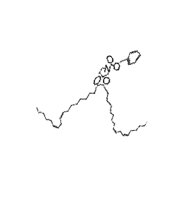 CCCCC/C=C\C/C=C\CCCCCCCC1OC2(CCN(C(=O)OCc3ccccc3)C2)OC1CCCCCCC/C=C\C/C=C\CCCCC